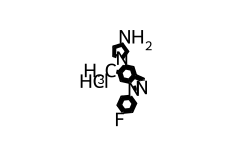 Cc1cc2c(cnn2-c2ccc(F)cc2)cc1N1CC[C@H](N)C1.Cl